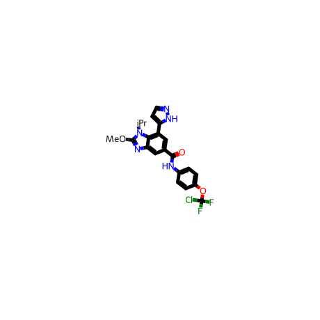 COc1nc2cc(C(=O)Nc3ccc(OC(F)(F)Cl)cc3)cc(-c3ccn[nH]3)c2n1C(C)C